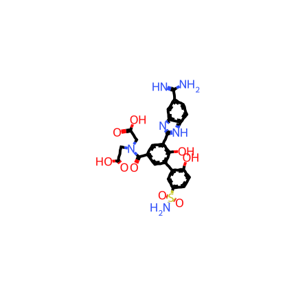 N=C(N)c1ccc2[nH]c(-c3cc(C(=O)N(CC(=O)O)CC(=O)O)cc(-c4cc(S(N)(=O)=O)ccc4O)c3O)nc2c1